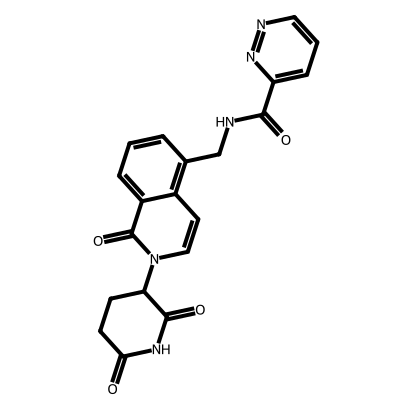 O=C1CCC(n2ccc3c(CNC(=O)c4cccnn4)cccc3c2=O)C(=O)N1